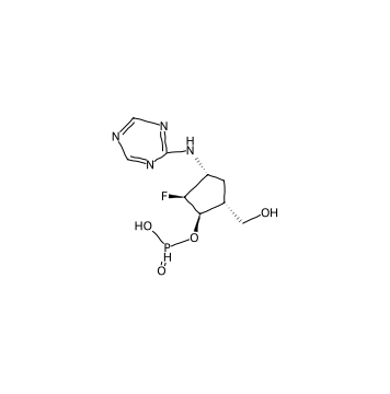 O=[PH](O)O[C@@H]1[C@@H](CO)C[C@@H](Nc2ncncn2)[C@@H]1F